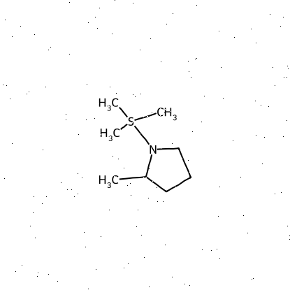 CC1CCCN1S(C)(C)C